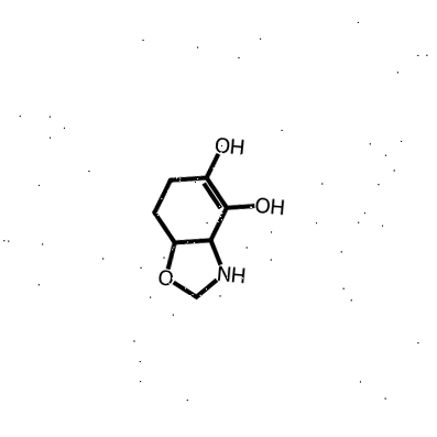 OC1=C(O)C2NCOC2CC1